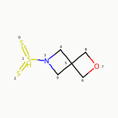 S=[SH](=S)N1CC2(COC2)C1